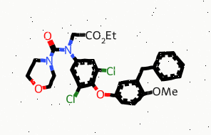 CCOC(=O)CN(C(=O)N1CCOCC1)c1cc(Cl)c(Oc2ccc(OC)c(Cc3ccccc3)c2)c(Cl)c1